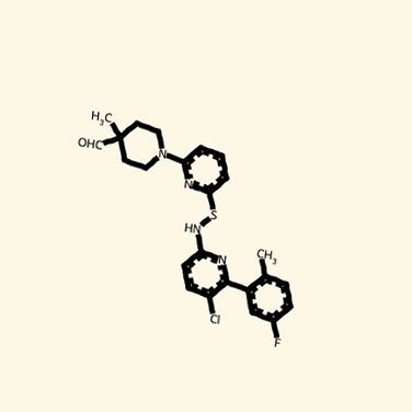 Cc1ccc(F)cc1-c1nc(NSc2cccc(N3CCC(C)(C=O)CC3)n2)ccc1Cl